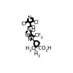 CC(C)(C)CN(CC(=O)c1c(Cl)cncc1Cl)C(=O)c1cnn([C@@H]2CC[C@@H](C(=O)O)C(C)(C)C2)c1C(F)(F)F